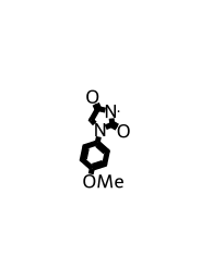 COc1ccc(N2CC(=O)[N]C2=O)cc1